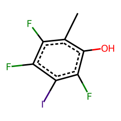 Cc1c(O)c(F)c(I)c(F)c1F